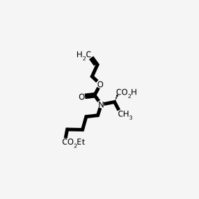 C=CCOC(=O)N(CCCCC(=O)OCC)[C@@H](C)C(=O)O